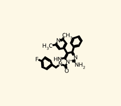 Cc1cc(-c2c(-c3ccccc3)nc(N)[n+]3c(=O)n(Cc4ccc(F)cc4)[nH]c23)cc(C)n1